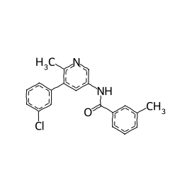 Cc1cccc(C(=O)Nc2cnc(C)c(-c3cccc(Cl)c3)c2)c1